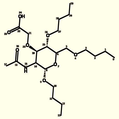 CCCCOCC1O[C@H](OCCCC)C(NC(C)=O)[C@@H](OCC(=O)O)[C@@H]1OCCCC